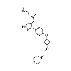 CNCCN(C)Cc1c[nH]nc1-c1ccc(OC2CC(OCCN3CCOCC3)C2)cc1